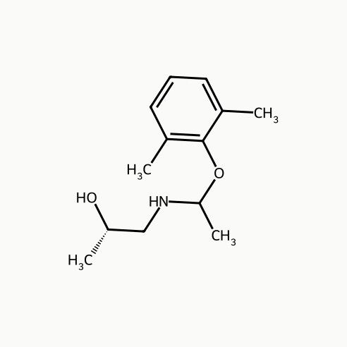 Cc1cccc(C)c1OC(C)NC[C@H](C)O